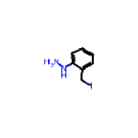 NNc1ccccc1CI